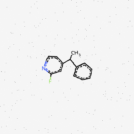 CC(c1ccccc1)c1ccnc(F)c1